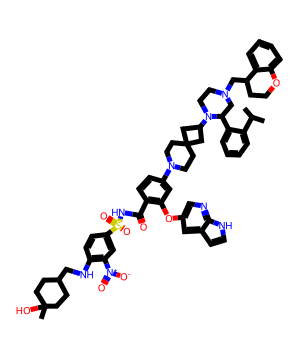 CC(C)c1ccccc1C1CN(CC2CCOc3ccccc32)CCN1C1CC2(CCN(c3ccc(C(=O)NS(=O)(=O)c4ccc(NCC5CCC(C)(O)CC5)c([N+](=O)[O-])c4)c(Oc4cnc5[nH]ccc5c4)c3)CC2)C1